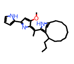 CCCC1CCCCCCCc2cc1c(/C(C)=C1/N=C(c3ccc[nH]3)C=C1OC)[nH]2